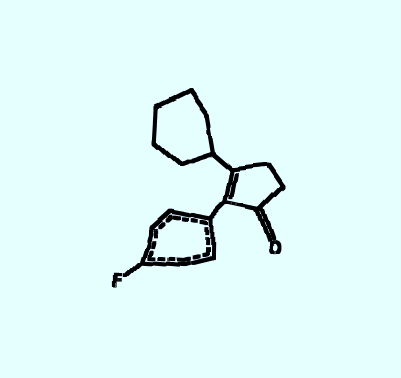 O=C1CCC(C2CCCCC2)=C1c1ccc(F)cc1